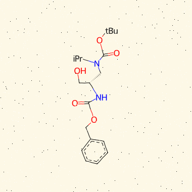 CC(C)N(C[C@@H](CO)NC(=O)OCc1ccccc1)C(=O)OC(C)(C)C